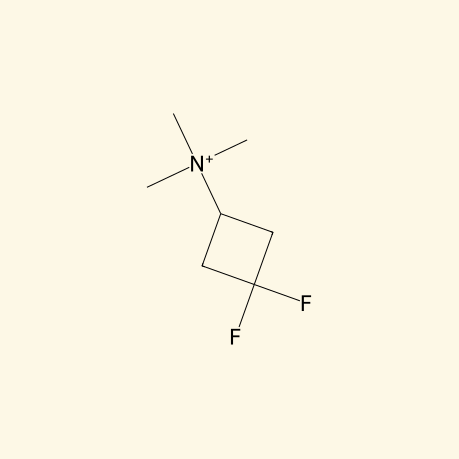 C[N+](C)(C)C1CC(F)(F)C1